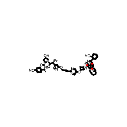 CC(C)[C@@H](C(=O)N1C[C@H](O)C[C@H]1C(=O)N[C@@H](C)c1ccc(C#N)cc1)c1cc(OCC#Cc2ncc(O[C@H]3C[C@H](Oc4cc(N5C6CCC5CN(c5cc(-c7ccccc7O)nnc5N)C6)ccn4)C3)cn2)no1